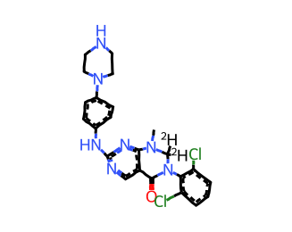 [2H]C1([2H])N(C)c2nc(Nc3ccc(N4CCNCC4)cc3)ncc2C(=O)N1c1c(Cl)cccc1Cl